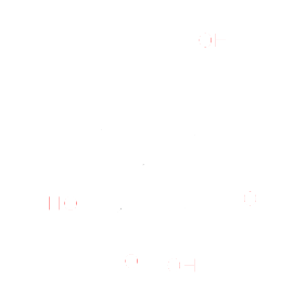 O=C(O)C1(C(=O)O)C=C(O)CC1